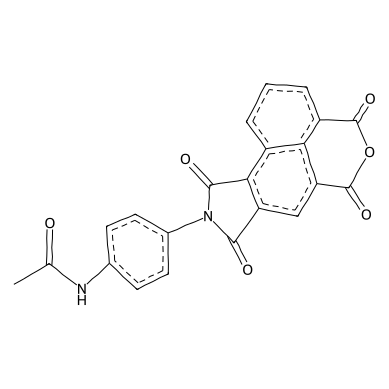 CC(=O)Nc1ccc(N2C(=O)c3cc4c5c(cccc5c3C2=O)C(=O)OC4=O)cc1